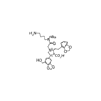 CCCCN(CCCCN)C(=O)CN1C[C@H](c2cc(CO)c3c(c2)OCO3)[C@@H](C(=O)O)[C@@H]1CCc1cccc2c1OCO2